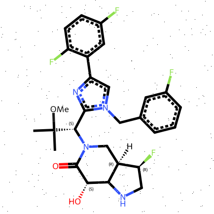 COC(C)(C)[C@H](c1nc(-c2cc(F)ccc2F)cn1Cc1cccc(F)c1)N1C[C@@H]2C(NC[C@@H]2F)[C@H](O)C1=O